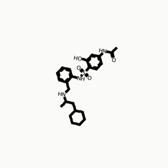 CC(=O)Nc1ccc(S(=O)(=O)Nc2ccccc2CNC(C)CC2CCCCC2)c(O)c1